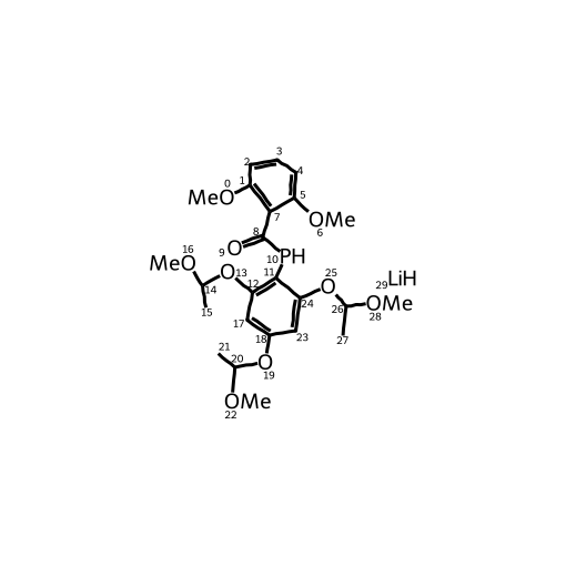 COc1cccc(OC)c1C(=O)Pc1c(OC(C)OC)cc(OC(C)OC)cc1OC(C)OC.[LiH]